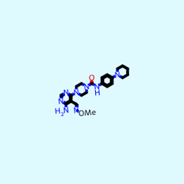 CO/N=C/c1c(N)ncnc1N1CCN(C(=O)Nc2ccc(N3CCCCC3)cc2)CC1